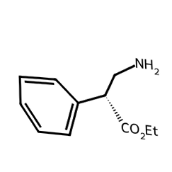 CCOC(=O)[C@@H](CN)c1ccccc1